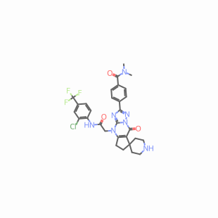 CN(C)C(=O)c1ccc(-c2nc3n(CC(=O)Nc4ccc(C(F)(F)F)cc4Cl)c4c(c(=O)n3n2)C2(CCNCC2)CC4)cc1